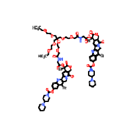 CCc1c2c(nc3ccc(OC(=O)N4CCC(N5CCCCC5)CC4)cc13)-c1cc3c(c(=O)n1C2)COC(=O)C3(CC)OC(=O)CNC(=O)COCCOCC(COCCOCC(=O)O)(COCCOCC(=O)O)OCCOCC(=O)NCC(=O)OC1(CC)C(=O)OCc2c1cc1n(c2=O)Cc2c-1nc1ccc(OC(=O)N3CCC(N4CCCCC4)CC3)cc1c2CC